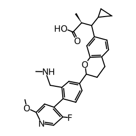 CNCc1cc(C2CCc3ccc(C(C4CC4)[C@H](C)C(=O)O)cc3O2)ccc1-c1cc(OC)ncc1F